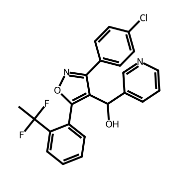 CC(F)(F)c1ccccc1-c1onc(-c2ccc(Cl)cc2)c1C(O)c1cccnc1